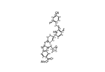 COC(=O)c1ccc2nc(CN3CC=C(C4C=CC(F)=C(SCc5ccc(C#N)cc5F)N4)CC3)n(C[C@@H]3CCO3)c2c1